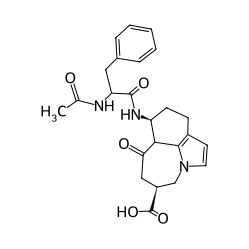 CC(=O)NC(Cc1ccccc1)C(=O)N[C@H]1CCc2ccn3c2C1C(=O)C[C@H](C(=O)O)C3